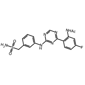 CC(=O)Nc1cc(F)ccc1-c1ncnc(Nc2cccc(CS(N)(=O)=O)c2)n1